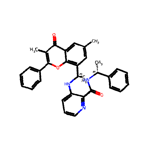 Cc1cc([C@@H](C)Nc2cccnc2C(=O)N[C@H](C)c2ccccc2)c2oc(-c3ccccc3)c(C)c(=O)c2c1